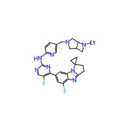 CCN1CC2CN(Cc3ccc(Nc4ncc(F)c(-c5cc(F)c6nc7n(c6c5)C5(CC7)CC5)n4)nc3)CC21